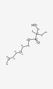 CCC(C)(CO)C(=O)OCCOCCOC